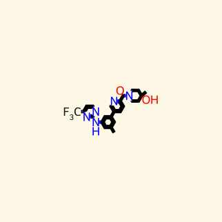 Cc1cc(Nc2nccc(C(F)(F)F)n2)cc(-c2ccc(C(=O)N3CCC(C)(O)CC3)nc2)c1